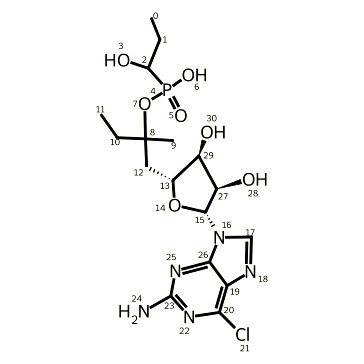 CCC(O)P(=O)(O)OC(C)(CC)C[C@H]1O[C@@H](n2cnc3c(Cl)nc(N)nc32)[C@H](O)[C@@H]1O